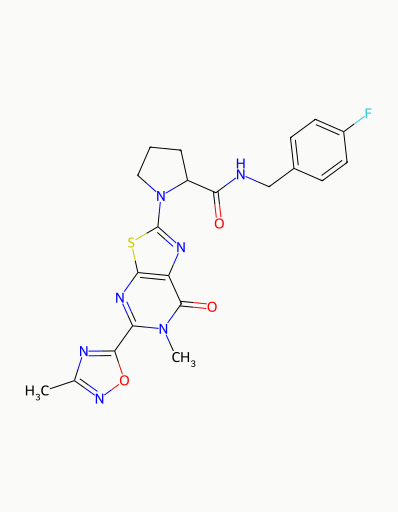 Cc1noc(-c2nc3sc(N4CCCC4C(=O)NCc4ccc(F)cc4)nc3c(=O)n2C)n1